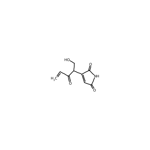 C=CC(=O)C(CO)C1=CC(=O)NC1=O